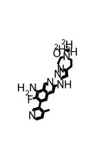 [2H]C([2H])([2H])N1CCc2cc(Nc3cc4cc(-c5cnccc5C)c(F)c(N)c4cn3)nn2CC1=O